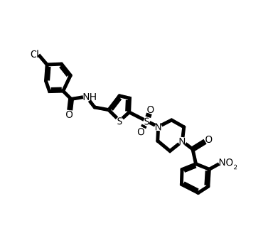 O=C(NCc1ccc(S(=O)(=O)N2CCN(C(=O)c3ccccc3[N+](=O)[O-])CC2)s1)c1ccc(Cl)cc1